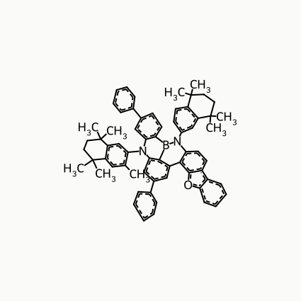 Cc1cc2c(cc1N1c3cc(-c4ccccc4)ccc3B3c4c(cc(-c5ccccc5)cc41)-c1c(ccc4c1oc1ccccc14)N3c1ccc3c(c1)C(C)(C)CCC3(C)C)C(C)(C)CCC2(C)C